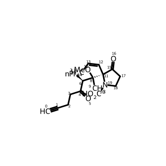 C#CCCC(=O)[C@@H](CCC)C(C)(OC)[C@]1(/C=C\C)C(=O)CCN1C(=O)O